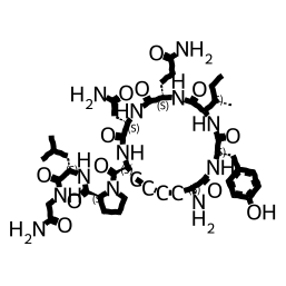 CC[C@H](C)C1NC(=O)[C@H](Cc2ccc(O)cc2)NC(=O)[C@@H](N)CCCC[C@@H](C(=O)N2CCC[C@H]2C(=O)N[C@@H](CC(C)C)C(=O)NCC(N)=O)NC(=O)[C@H](CC(N)=O)NC(=O)[C@H](CCC(N)=O)NC1=O